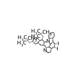 CC(C)(C)Cc1ccc2c(CC(C)(C)C)c3c(cc2c1)c1nccc2c(I)c(I)c4c5ccccc5n3c4c21